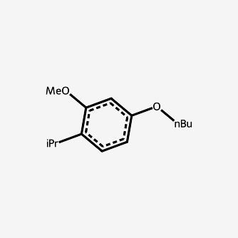 CCCCOc1ccc(C(C)C)c(OC)c1